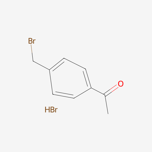 Br.CC(=O)c1ccc(CBr)cc1